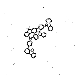 CC1(C)c2cc(-n3c4ccccc4c4ccccc43)ccc2-c2cc3c(cc21)-c1c(N(c2ccc(-c4ccccc4)cc2)c2ccc(-c4cccc5c4oc4ccccc45)cc2)cccc1C3(C)C